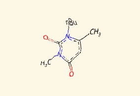 CCCCn1c(C)cc(=O)n(C)c1=O